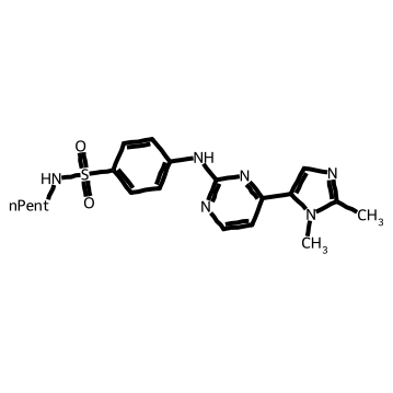 CCCCCNS(=O)(=O)c1ccc(Nc2nccc(-c3cnc(C)n3C)n2)cc1